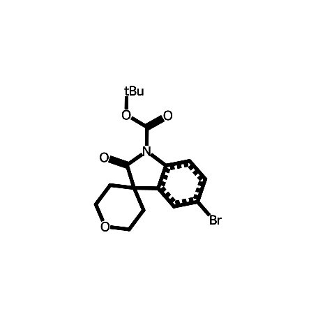 CC(C)(C)OC(=O)N1C(=O)C2(CCOCC2)c2cc(Br)ccc21